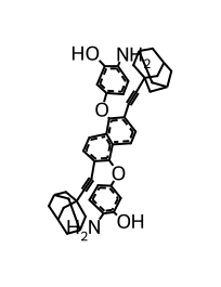 Nc1ccc(Oc2c(C#CC34CC5CC(CC(C5)C3)C4)ccc3c(Oc4ccc(N)c(O)c4)c(C#CC45CC6CC(CC(C6)C4)C5)ccc23)cc1O